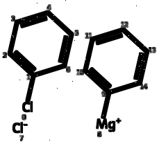 Clc1ccccc1.[Cl-].[Mg+][c]1ccccc1